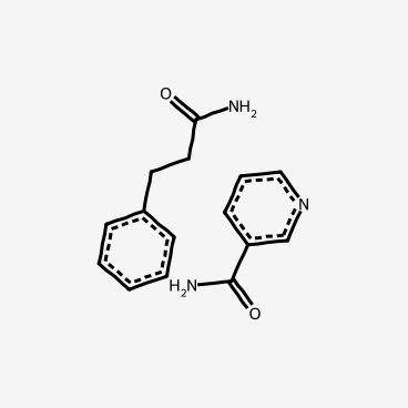 NC(=O)CCc1ccccc1.NC(=O)c1cccnc1